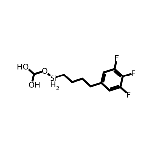 OC(O)O[SiH2]CCCCc1cc(F)c(F)c(F)c1